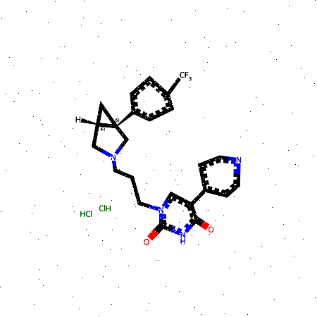 Cl.Cl.O=c1[nH]c(=O)n(CCCN2C[C@@H]3C[C@]3(c3ccc(C(F)(F)F)cc3)C2)cc1-c1ccncc1